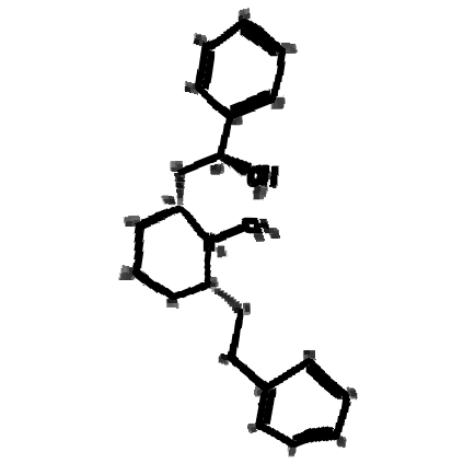 CN1[C@H](CCc2ccccc2)CCC[C@@H]1C[C@H](O)c1ccccc1